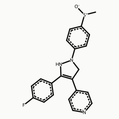 C[S+]([O-])c1ccc(N2CC(c3ccncc3)=C(c3ccc(F)cc3)N2)cc1